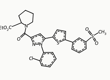 CCOC(=O)C1CCCCN1C(=O)c1cc(-c2ccc(-c3cccc(S(C)(=O)=O)c3)s2)n(-c2ccccc2Cl)n1